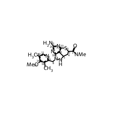 CNC(=O)C1CC2NN(Cc3ncc(C)c(OC)c3C)c3nc(N)nc(c32)S1